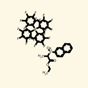 CCOC(=O)C(C)[S+](C)c1ccc2ccccc2c1.Fc1c(F)c(F)c([B-](c2c(F)c(F)c(F)c(F)c2F)(c2c(F)c(F)c(F)c(F)c2F)c2c(F)c(F)c(F)c(F)c2F)c(F)c1F